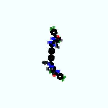 C=N/C(=C\NCC(NC(=O)C1CCC(F)(F)CC1)C(C)(C)F)c1ccc(-c2ccc(-c3c[nH]c(C(NC(=O)C4CCC(F)(F)CC4)C(C)(C)F)n3)cc2)cc1